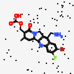 Cc1cc2n(c(=O)c1COC(=O)O)Cc1c-2nc2cc(F)c(Br)cc2c1CN